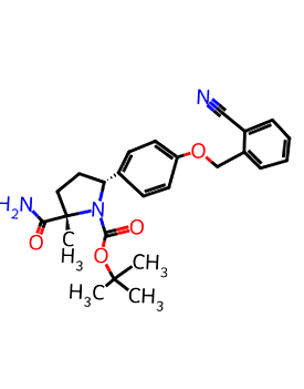 CC(C)(C)OC(=O)N1[C@@H](c2ccc(OCc3ccccc3C#N)cc2)CC[C@@]1(C)C(N)=O